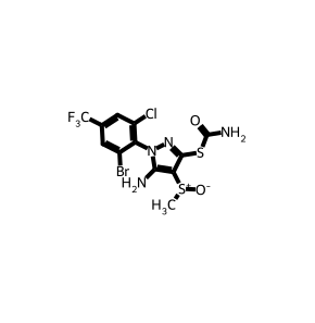 C[S+]([O-])c1c(SC(N)=O)nn(-c2c(Cl)cc(C(F)(F)F)cc2Br)c1N